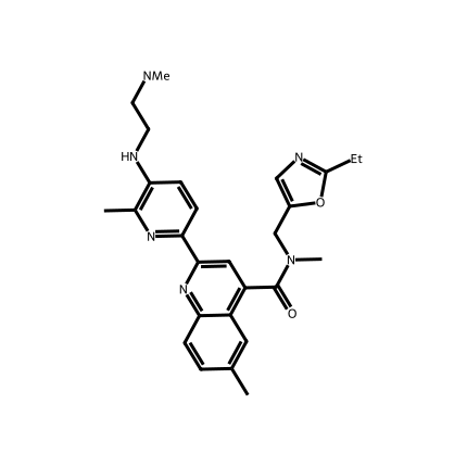 CCc1ncc(CN(C)C(=O)c2cc(-c3ccc(NCCNC)c(C)n3)nc3ccc(C)cc23)o1